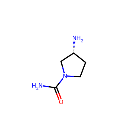 NC(=O)N1CC[C@@H](N)C1